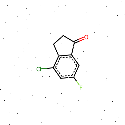 O=C1CCc2c(Cl)cc(F)cc21